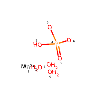 O.O.O.O=P([O-])([O-])O.[Mn+2]